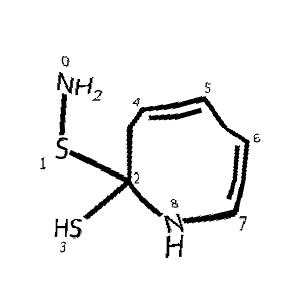 NSC1(S)C=CC=CN1